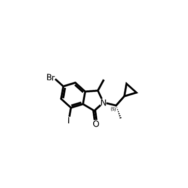 CC1c2cc(Br)cc(I)c2C(=O)N1[C@@H](C)C1CC1